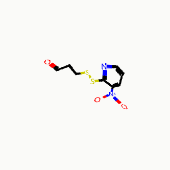 O=[C]CCSSc1ncccc1[N+](=O)[O-]